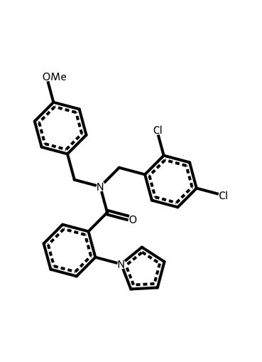 COc1ccc(CN(Cc2ccc(Cl)cc2Cl)C(=O)c2ccccc2-n2cccc2)cc1